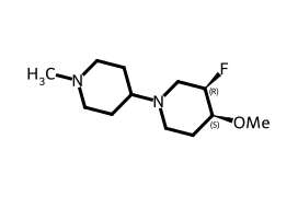 CO[C@H]1CCN(C2CCN(C)CC2)C[C@H]1F